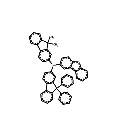 CC1(C)c2ccccc2-c2ccc(N(c3ccc4c(c3)C(c3ccccc3)(c3ccccc3)c3ccccc3-4)c3ccc4sc5ccccc5c4c3)cc21